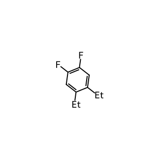 CCc1cc(F)c(F)cc1CC